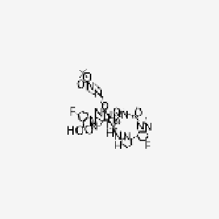 CO[C@H]1CN(C)C(=O)[C@@H]2C[C@@H](CN2c2nc(OCCN3CCN(C(=O)OC(C)(C)C)CC3)nc3c2cnn3-c2ccc(F)cc2C(=O)O)Nc2cccc(n2)-c2cc(F)cc3nc(C)n(c23)C1